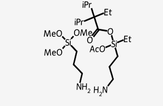 CCC(C(=O)O[Si](CC)(CCCN)OC(C)=O)(C(C)C)C(C)C.CO[Si](CCCN)(OC)OC